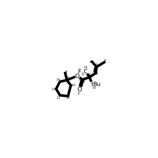 CC(C)=CC(C(=O)OC1(C)CCCCC1)(C(C)(C)C)C(F)(F)F